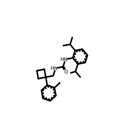 Cc1ccccc1C1(CNC(=O)Nc2c(C(C)C)cccc2C(C)C)CCC1